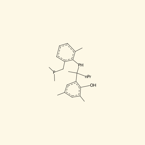 CCCC(C)(Pc1c(C)cccc1CP(C)C)c1cc(C)cc(C)c1O